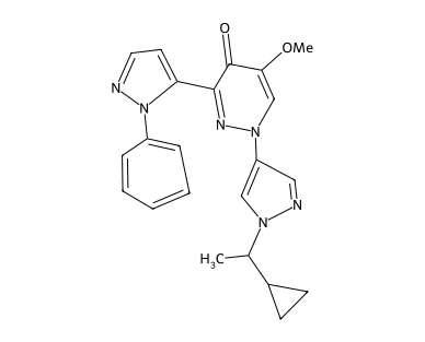 COc1cn(-c2cnn(C(C)C3CC3)c2)nc(-c2ccnn2-c2ccccc2)c1=O